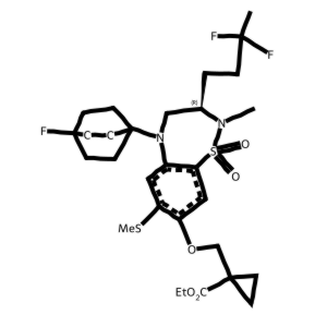 CCOC(=O)C1(COc2cc3c(cc2SC)N(C24CCC(F)(CC2)CC4)C[C@@H](CCC(C)(F)F)N(C)S3(=O)=O)CC1